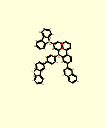 c1ccc(-c2ccc(-c3ccc4ccccc4c3)cc2N(c2ccc(-c3ccc4sc5ccccc5c4c3)cc2)c2cccc(-n3c4ccccc4c4ccccc43)c2)cc1